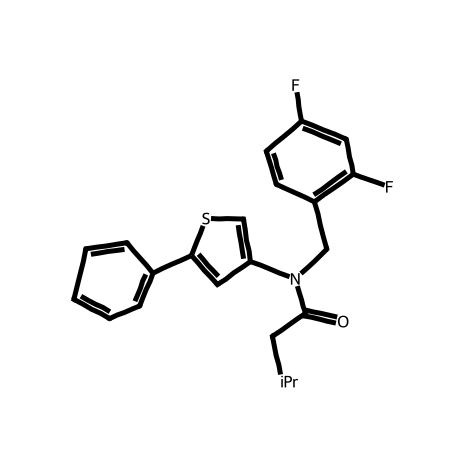 CC(C)CC(=O)N(Cc1ccc(F)cc1F)c1csc(-c2ccccc2)c1